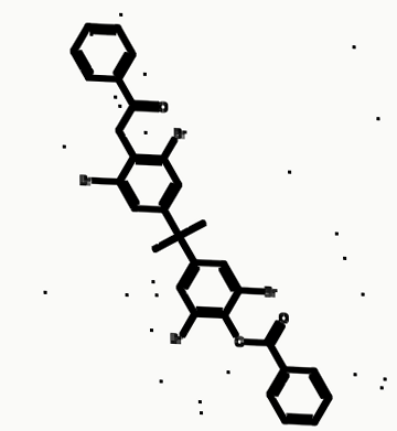 CC(C)(c1cc(Br)c(CC(=O)c2ccccc2)c(Br)c1)c1cc(Br)c(OC(=O)c2ccccc2)c(Br)c1